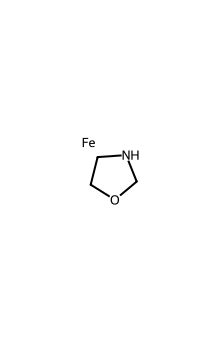 C1COCN1.[Fe]